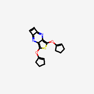 C1=Cc2nc3c(OC4=CCCC4)sc(OC4=CCCC4)c3nc21